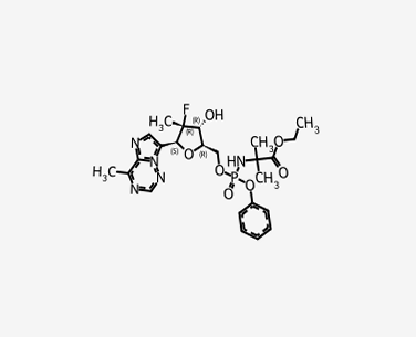 CCOC(=O)C(C)(C)NP(=O)(OC[C@H]1O[C@@H](c2cnc3c(C)ncnn23)[C@](C)(F)[C@@H]1O)Oc1ccccc1